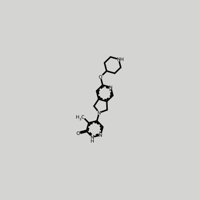 Cc1c(N2Cc3cnc(OC4CCNCC4)cc3C2)cn[nH]c1=O